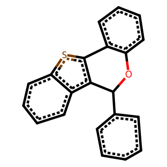 c1ccc(C2Oc3ccccc3-c3sc4ccccc4c32)cc1